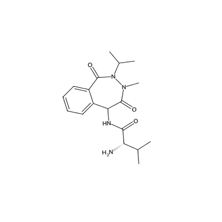 CC(C)[C@H](N)C(=O)NC1C(=O)N(C)N(C(C)C)C(=O)c2ccccc21